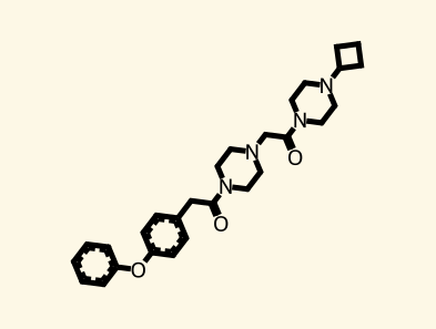 O=C(Cc1ccc(Oc2ccccc2)cc1)N1CCN(CC(=O)N2CCN(C3CCC3)CC2)CC1